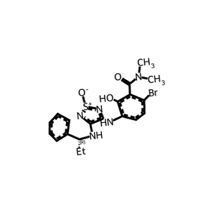 CC[C@@H](Nc1n[s+]([O-])nc1Nc1ccc(Br)c(C(=O)N(C)C)c1O)c1ccccc1